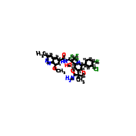 COc1cc(C(=O)NC[C@](O)(c2cc3c(c(-c4ccc(F)c(Cl)c4)n2)OC[C@]3(C)C(N)=O)C(F)(F)F)cc2cc(C)nnc12